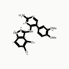 COc1ccc(-c2cnc(N)nc2Nc2n[nH]c3ccc(Cl)c(Cl)c23)cc1OC